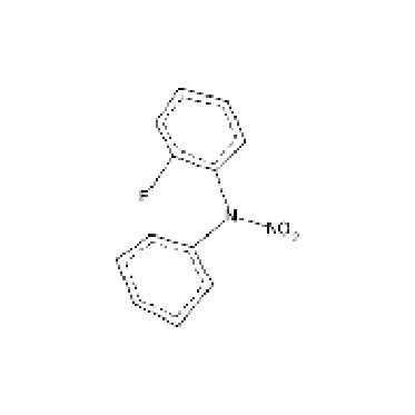 O=[N+]([O-])N(c1ccccc1)c1ccccc1F